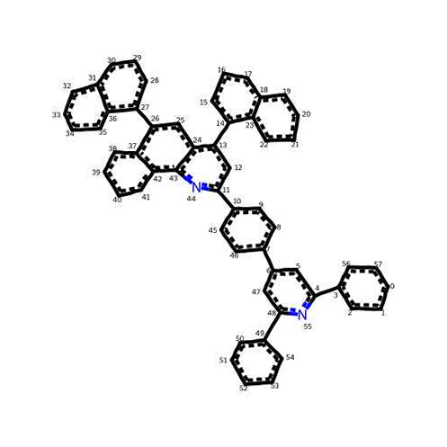 c1ccc(-c2cc(-c3ccc(-c4cc(-c5cccc6ccccc56)c5cc(-c6cccc7ccccc67)c6ccccc6c5n4)cc3)cc(-c3ccccc3)n2)cc1